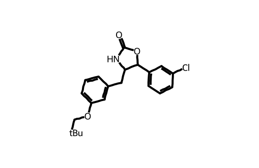 CC(C)(C)COc1cccc(CC2NC(=O)OC2c2cccc(Cl)c2)c1